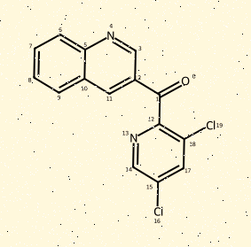 O=C(c1cnc2ccccc2c1)c1ncc(Cl)cc1Cl